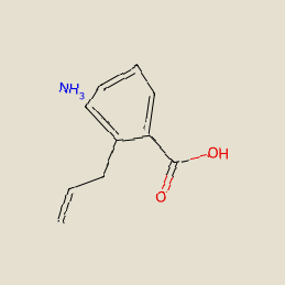 C=CCc1ccccc1C(=O)O.N